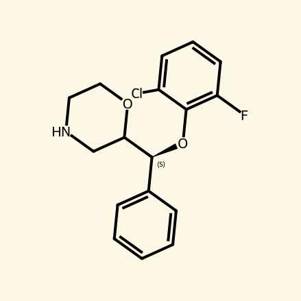 Fc1cccc(Cl)c1O[C@@H](c1ccccc1)C1CNCCO1